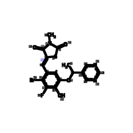 CC(Oc1cc(/C=C2\SC(=O)N(C)C2=O)c(Br)c(F)c1O)c1cncnc1